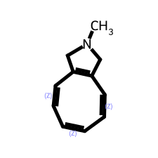 CN1CC2=C(\C=C/C=C\C=C/2)C1